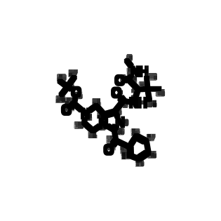 CNC(=O)C(NC(=O)c1nc(C(=O)c2ccccc2)n2c1CN(C(=O)OC(C)(C)C)CC2)C(C)(C)C